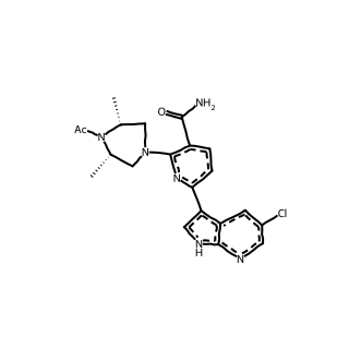 CC(=O)N1[C@H](C)CN(c2nc(-c3c[nH]c4ncc(Cl)cc34)ccc2C(N)=O)C[C@@H]1C